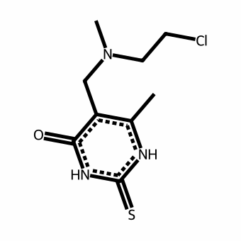 Cc1[nH]c(=S)[nH]c(=O)c1CN(C)CCCl